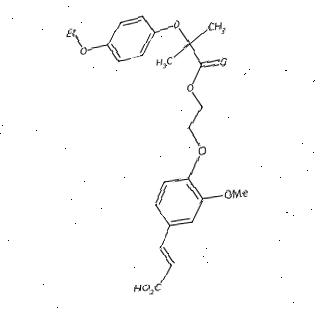 CCOc1ccc(OC(C)(C)C(=O)OCCOc2ccc(/C=C/C(=O)O)cc2OC)cc1